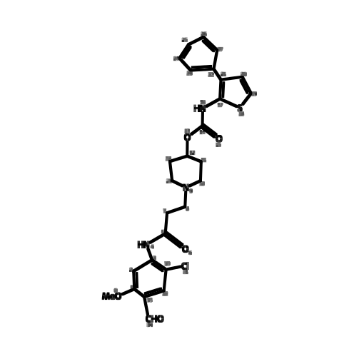 COc1cc(NC(=O)CCN2CCC(OC(=O)Nc3sccc3-c3ccccc3)CC2)c(Cl)cc1C=O